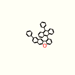 c1ccc(-c2ccc3cc4oc5cccc(-c6c7ccccc7c(-c7ccccc7)c7ccccc67)c5c4cc3c2)cc1